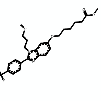 COCCCn1c(-c2ccc(C(F)(F)F)cc2)nc2ccc(OCCCCCC(=O)OC)cc21